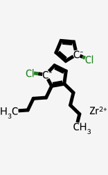 CCCCc1cc[c-](Cl)c1CCCC.Cl[c-]1cccc1.[Zr+2]